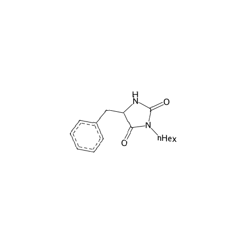 CCCCCCN1C(=O)NC(Cc2ccccc2)C1=O